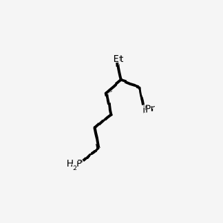 CCC(CCCCP)CC(C)C